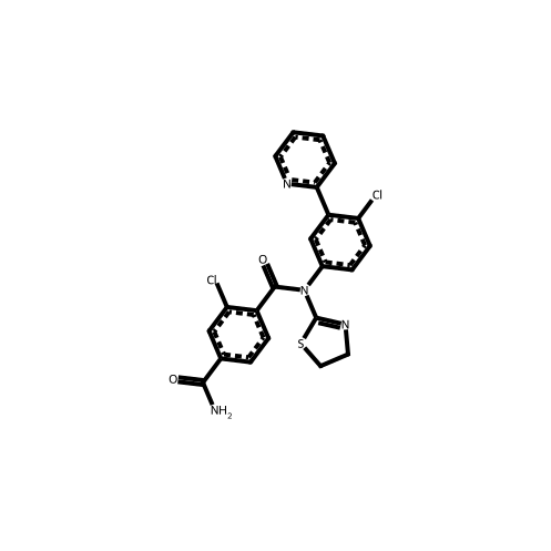 NC(=O)c1ccc(C(=O)N(C2=NCCS2)c2ccc(Cl)c(-c3ccccn3)c2)c(Cl)c1